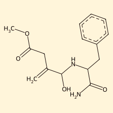 C=C(CC(=O)OC)C(O)NC(Cc1ccccc1)C(N)=O